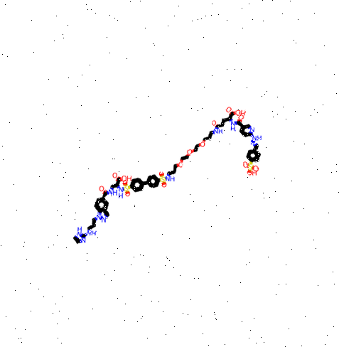 O=C(CCC(NC(=O)c1ccc(NN=Cc2ccc(S(=O)(=O)O)cc2)nc1)C(=O)O)NCCCOCCOCCOCCCNS(=O)(=O)c1ccc(-c2ccc(S(=O)(=O)NC(CNC(=O)c3ccc4c(cnn4CCCNc4ncc[nH]4)c3)C(=O)O)cc2)cc1